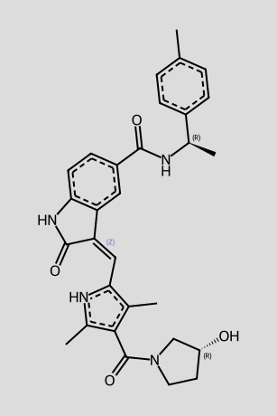 Cc1ccc([C@@H](C)NC(=O)c2ccc3c(c2)/C(=C/c2[nH]c(C)c(C(=O)N4CC[C@@H](O)C4)c2C)C(=O)N3)cc1